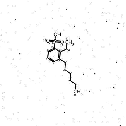 CCCCCCc1cccc(S(=O)(=O)O)c1CC